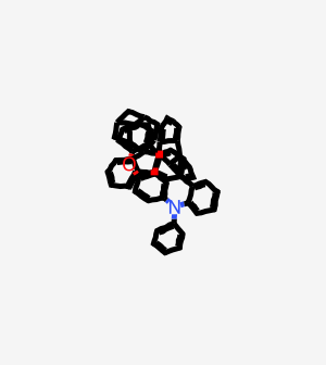 c1ccc(N(c2ccc3c(c2)C2(c4ccccc4O3)c3ccccc3-c3ccccc32)c2ccccc2-c2ccc3c(c2)-c2ccccc2C32C3CC4CC(C3)CC2C4)cc1